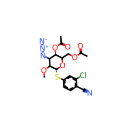 COC1C(N=[N+]=[N-])[C@@H](OC(C)=O)C(COC(C)=O)O[C@@H]1Sc1ccc(C#N)c(Cl)c1